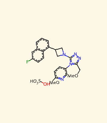 COCc1nnc(N2CC(c3cccc4cc(F)ccc34)C2)n1-c1ccc(OC)nc1.O=S(=O)(O)O